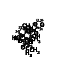 C=C[C@]1(C)O[C@]2(C)[C@@H](O)[C@@H](OC(=O)C3COCCO3)[C@H]3C(C)(C)CC[C@H](O)[C@]3(C)[C@@]2(O)C(=O)C1=O